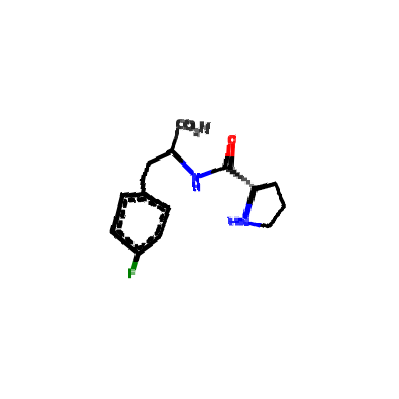 O=C(O)C(Cc1ccc(F)cc1)NC(=O)[C@@H]1CCCN1